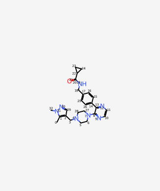 Cc1c(CN2CCN(c3nccnc3-c3ccc(CNC(=O)C4CC4)cc3)CC2)cnn1C